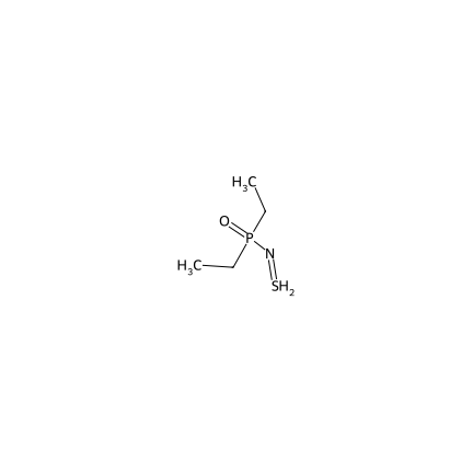 CCP(=O)(CC)N=[SH2]